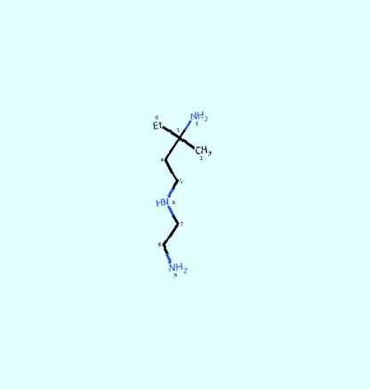 CCC(C)(N)CCNCCN